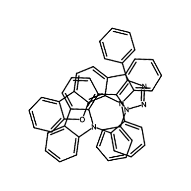 c1ccc(-c2nnn(-c3ccccc3)c2-c2cccc3c4ccccc4n(-c4ccccc4-n4c5ccccc5c5ccc6c7ccccc7oc6c54)c23)cc1